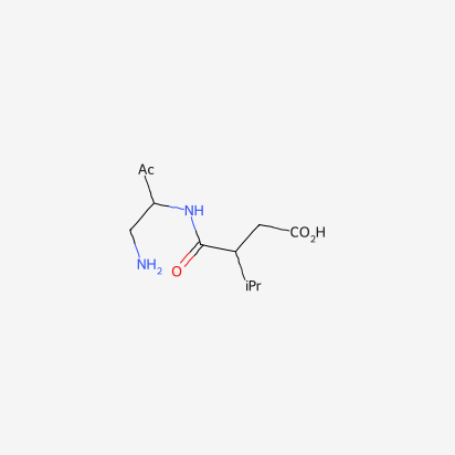 CC(=O)C(CN)NC(=O)C(CC(=O)O)C(C)C